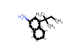 CCC(C)(C)c1cc(N)cc2ccccc12